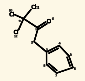 O=C(Cc1ccccc1)C(Cl)(Cl)Cl